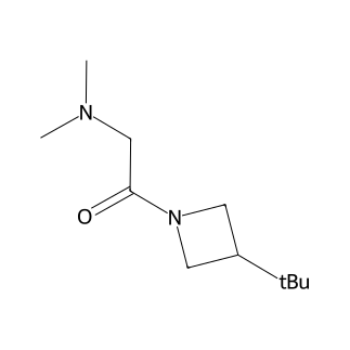 CN(C)CC(=O)N1CC(C(C)(C)C)C1